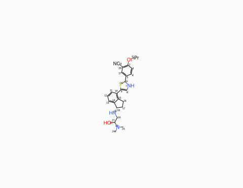 CC(C)Oc1ccc(C2NC=C(c3cccc4c3CC[C@@H]4NCC(O)N(C)C)S2)cc1C#N